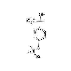 CC(O)(C(=O)O)c1ccc(O[Si](C)(C)C(C)(C)C)cc1